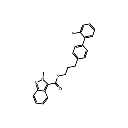 Cn1nc2ccccc2c1C(=O)NCCCc1ccc(-c2ccccc2F)cc1